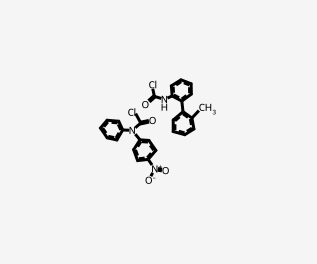 Cc1ccccc1-c1ccccc1NC(=O)Cl.O=C(Cl)N(c1ccccc1)c1ccc([N+](=O)[O-])cc1